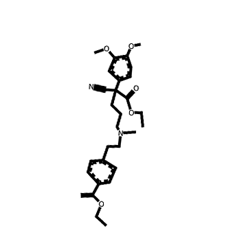 C=C(OCC)c1ccc(CCN(C)CCCC(C#N)(C(=O)OCC)c2ccc(OC)c(OC)c2)cc1